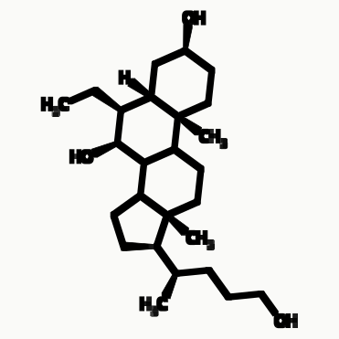 CC[C@@H]1[C@H](O)C2C3CC[C@H]([C@H](C)CCCO)[C@@]3(C)CCC2[C@@]2(C)CC[C@H](O)C[C@@H]12